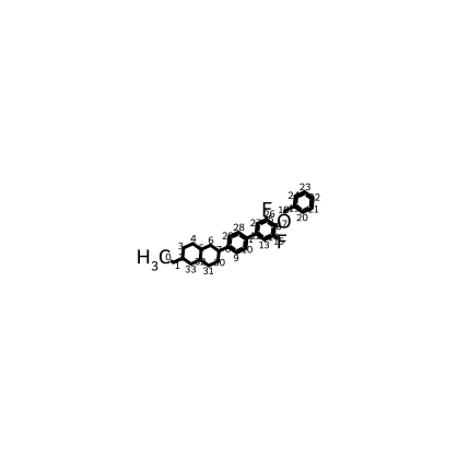 CCC1CCC2CC(c3ccc(-c4cc(F)c(OCc5ccccc5)c(F)c4)cc3)CCC2C1